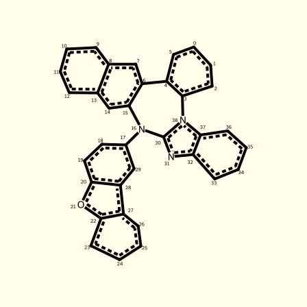 c1ccc2c(c1)-c1cc3ccccc3cc1N(c1ccc3oc4ccccc4c3c1)c1nc3ccccc3n1-2